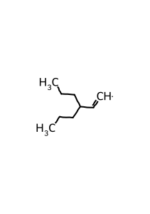 [CH]=CC(CCC)CCC